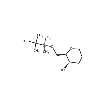 CC(C)(C)[Si](C)(C)OC[C@H]1OCCC[C@H]1O